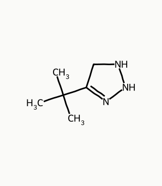 CC(C)(C)C1=NNNC1